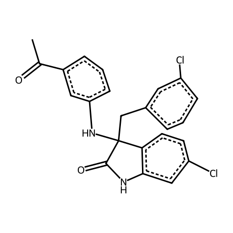 CC(=O)c1cccc(NC2(Cc3cccc(Cl)c3)C(=O)Nc3cc(Cl)ccc32)c1